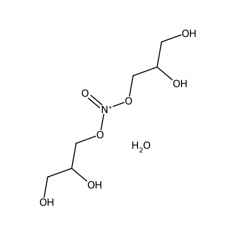 O.O=[N+](OCC(O)CO)OCC(O)CO